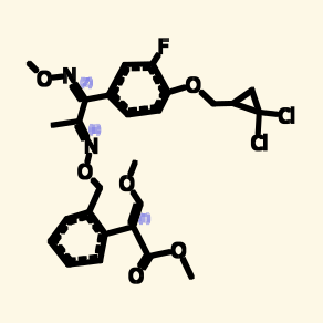 CO/C=C(/C(=O)OC)c1ccccc1CO/N=C(C)/C(=N\OC)c1ccc(OCC2CC2(Cl)Cl)c(F)c1